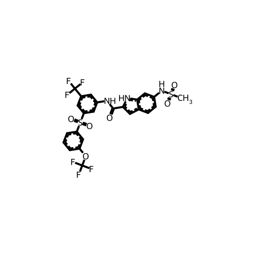 CS(=O)(=O)Nc1ccc2cc(C(=O)Nc3cc(C(F)(F)F)cc(S(=O)(=O)c4cccc(OC(F)(F)F)c4)c3)[nH]c2c1